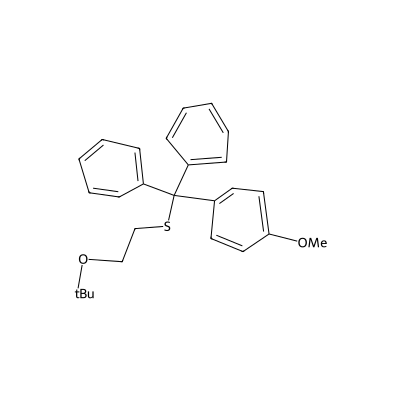 COc1ccc(C(SCCOC(C)(C)C)(c2ccccc2)c2ccccc2)cc1